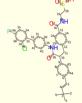 CC(C)(C)/C=C/c1ccc(C(Cc2ccc(C(=O)NCCS(=O)O)cc2)C(=O)Nc2ccc(-c3ccc(F)cc3Cl)cc2)cc1